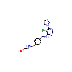 OCCNSc1ccc(CNc2ncnc(N3CCCC3)c2F)cc1